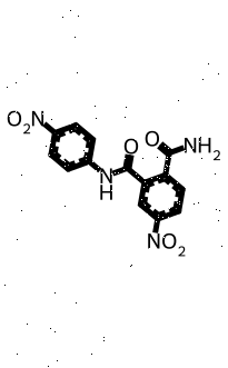 NC(=O)c1ccc([N+](=O)[O-])cc1C(=O)Nc1ccc([N+](=O)[O-])cc1